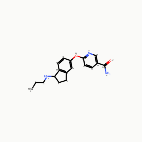 CC(C)(C)CCNC1CCc2cc(Oc3ccc(C(N)=O)cn3)ccc21